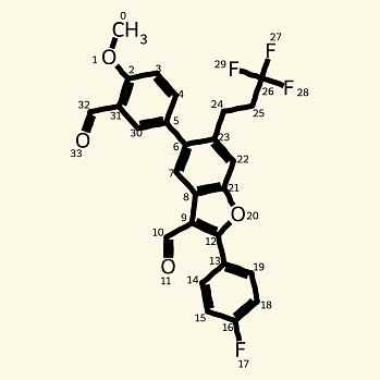 COc1ccc(-c2cc3c(C=O)c(-c4ccc(F)cc4)oc3cc2CCC(F)(F)F)cc1C=O